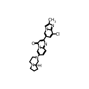 Cc1cn2cc(-c3cc(=O)n4cc(N5CCN6CCC[C@@H]6C5)ccc4n3)cc(Cl)c2n1